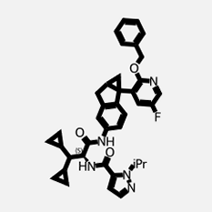 CC(C)n1nccc1C(=O)N[C@H](C(=O)Nc1ccc2c(c1)CC1CC21c1cc(F)cnc1OCc1ccccc1)C(C1CC1)C1CC1